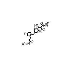 CCCNC(=O)c1c(O)c2ncc(Cc3ccc(F)cc3CCC(=O)NC)cc2n(C)c1=O